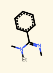 CCN(C)/C(=N\C)c1ccccc1